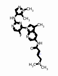 Cc1cn(-c2nc(Nc3cnn(C)c3C)ncc2F)c2ncc(NC(=O)/C=C/CN(C)C)cc12